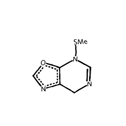 CSN1C=NCc2ncoc21